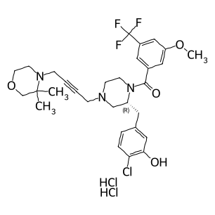 COc1cc(C(=O)N2CCN(CC#CCN3CCOCC3(C)C)C[C@H]2Cc2ccc(Cl)c(O)c2)cc(C(F)(F)F)c1.Cl.Cl